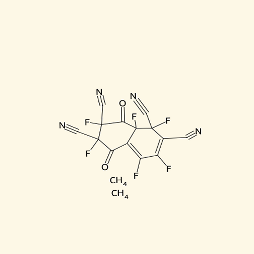 C.C.N#CC1=C(F)C(F)=C2C(=O)C(F)(C#N)C(F)(C#N)C(=O)C2(F)C1(F)C#N